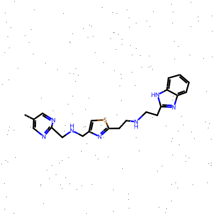 Cc1cnc(CNCc2csc(CCNCCc3nc4ccccc4[nH]3)n2)nc1